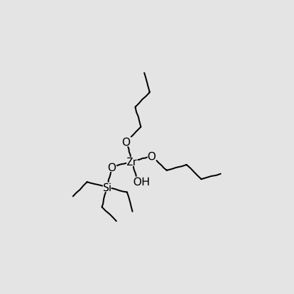 CCCC[O][Zr]([OH])([O]CCCC)[O][Si](CC)(CC)CC